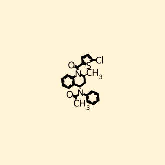 CC(=O)N(c1ccccc1)[C@H]1C[C@@H](C)N(C(=O)c2ccc(Cl)s2)c2ccccc21